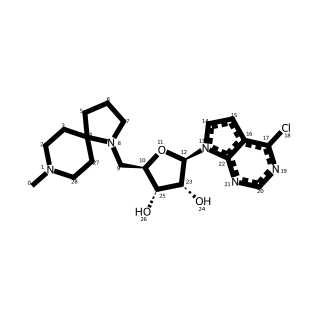 CN1CCC2(CCCN2C[C@H]2O[C@@H](n3ccc4c(Cl)ncnc43)[C@H](O)[C@@H]2O)CC1